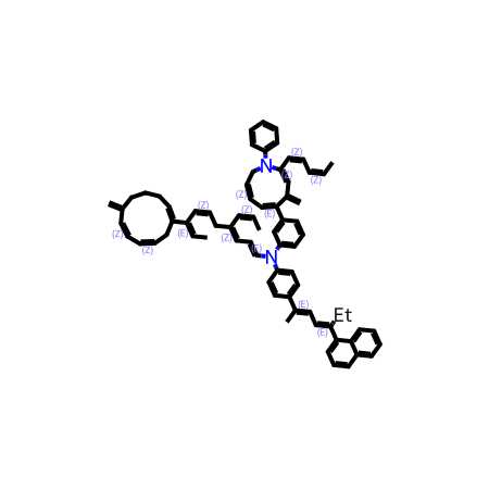 C=C1/C=C\C=C/CC(C(/C=C\CC(/C=C\C)=C/C=C/N(c2ccc(/C(C)=C/C=C(\CC)c3cccc4ccccc34)cc2)c2cccc(/C3=C/C=C\CN(c4ccccc4)C(/C=C\C=C/C)=C\C3=C)c2)=C/C)=CCCC1